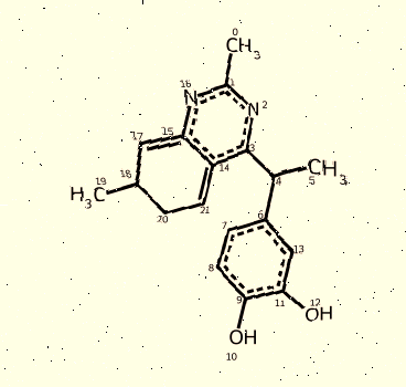 Cc1nc(C(C)c2ccc(O)c(O)c2)c2c(n1)=CC(C)CC=2